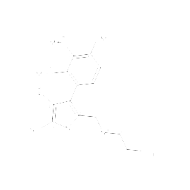 COc1ccc(-c2c(CNCCS(=O)(=O)O)[nH]c(C#N)c2Br)c(OC)c1OC